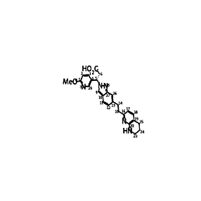 COc1ccc([C@H](CC(=O)O)n2cc3ccc(CCc4ccc5c(n4)NCCC5)cc3n2)cn1